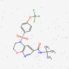 CC(C)(C)NC(=O)c1cnc2c(c1)N(S(=O)(=O)c1ccc(OC(F)(F)F)cc1)CCO2